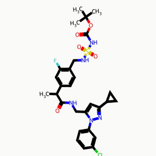 CC(C(=O)NCc1cc(C2CC2)nn1-c1cccc(Cl)c1)c1ccc(CNS(=O)(=O)NC(=O)OC(C)(C)C)c(F)c1